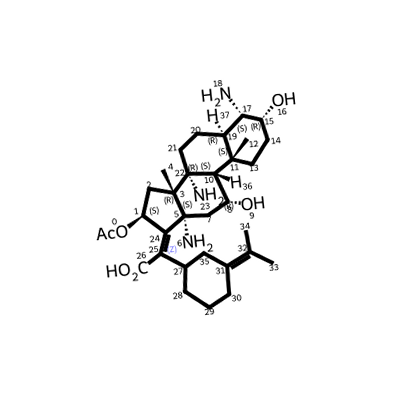 CC(=O)O[C@H]1C[C@@]2(C)[C@@](N)(C[C@@H](O)[C@H]3[C@@]4(C)CC[C@@H](O)[C@@H](N)[C@@H]4CC[C@@]32N)/C1=C(/C(=O)O)C1CCCC(=C(C)C)C1